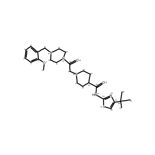 COc1ccccc1CN1CCN(C(=O)CN2CCC(C(=O)Nc3nc(C(C)(C)C)cs3)CC2)CC1